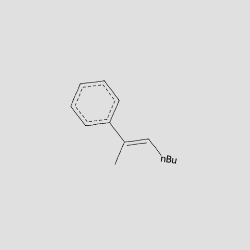 CCCCC=C(C)c1ccccc1